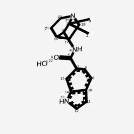 CC1(C)C(NC(=O)c2ccc3cc[nH]c3c2)C2CCN1CC2.Cl